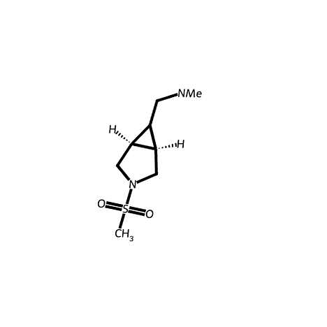 CNCC1[C@H]2CN(S(C)(=O)=O)C[C@@H]12